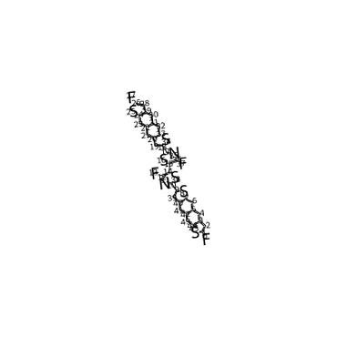 Fc1cc2cc3cc4sc(-c5nc(F)c(-c6sc(-c7cc8cc9cc%10sc(F)cc%10cc9cc8s7)nc6F)s5)cc4cc3cc2s1